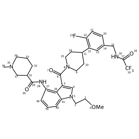 COCCn1cc(C(=O)N2CCC(c3cc(CNC(=O)C(F)(F)F)ccc3F)CC2)c2c(NC(=O)C3CCCN(C)C3)cccc21